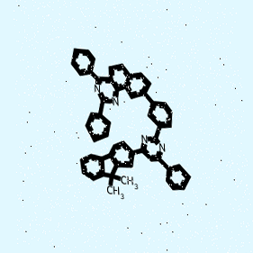 CC1(C)c2ccccc2-c2ccc(-c3cc(-c4ccccc4)nc(-c4cccc(-c5ccc6ccc7c(-c8ccccc8)nc(-c8ccccc8)nc7c6c5)c4)n3)cc21